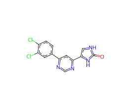 O=c1[nH]cc(-c2cc(-c3ccc(Cl)c(Cl)c3)ncn2)[nH]1